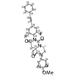 COc1ncc(N2CCN3C(=O)N(c4c(F)cc(C#Cc5ccccc5)cc4F)C(=O)C[C@@]3(C)C2=O)cn1